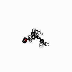 CCN(CC)c1ccc(/C=C/C(=O)c2ccc(OC(=O)C3C4CC5CC(C4)CC3C5)c3c2OC(C)(C)C=C3)cc1